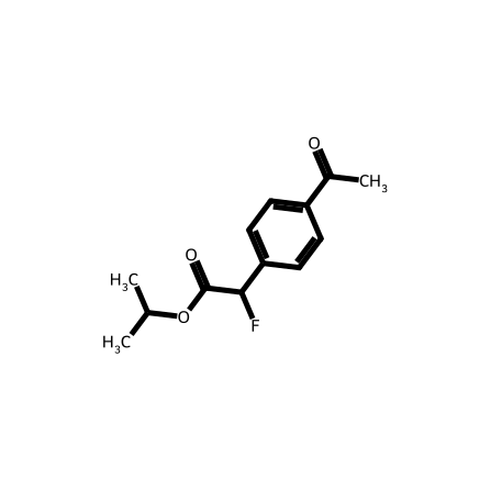 CC(=O)c1ccc(C(F)C(=O)OC(C)C)cc1